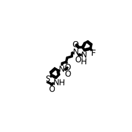 O=C1CSc2ccc(N3CC(CCCn4c(=O)[nH]c5c(F)cccc5c4=O)OC3=O)cc2N1